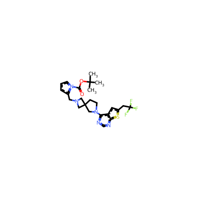 CC(C)(C)OC(=O)n1cccc1CN1CC2(CCN(c3ncnc4sc(CC(F)(F)F)cc34)C2)C1